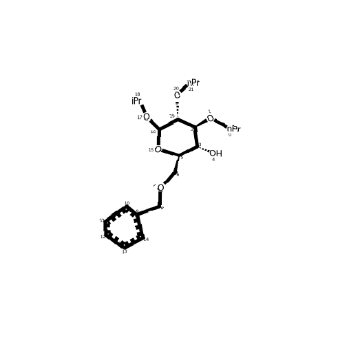 CCCO[C@H]1[C@H](O)[C@@H](COCc2ccccc2)OC(OC(C)C)[C@@H]1OCCC